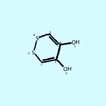 OC1=CSSC=C1O